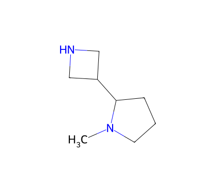 CN1CCCC1C1CNC1